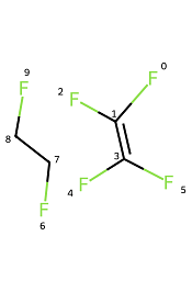 FC(F)=C(F)F.FCCF